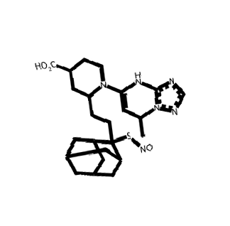 CC1C=C(N2CCC(C(=O)O)CC2CCC2(SN=O)C3CC4CC(C3)CC2C4)Nc2ncnn21